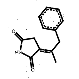 CC(Cc1ccccc1)=C1CC(=O)NC1=O